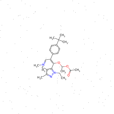 CCn1nc(C)c(C)c1/C(OC(C)OC(C)=O)=C(\C=N\C)c1ccc(C(C)(C)C)cc1